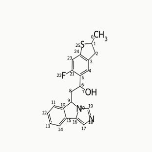 CC1Cc2cc(C(O)CC3c4ccccc4-c4cncn43)c(F)cc2S1